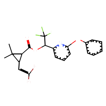 CC1(C)C(C=C(Br)Br)C1C(=O)OC(c1cccc(Oc2ccccc2)n1)C(F)(F)F